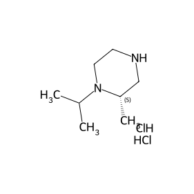 CC(C)N1CCNC[C@@H]1C.Cl.Cl